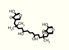 CC(C)(CCC(O)CCCC(O)CCC(C)(C)Cc1cocc(O)c1=O)Cc1cocc(O)c1=O